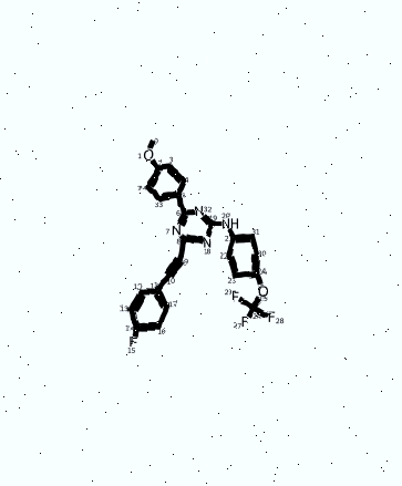 COc1ccc(-c2nc(C#Cc3ccc(F)cc3)nc(Nc3ccc(OC(F)(F)F)cc3)n2)cc1